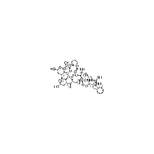 C[C@H](NC(=O)[C@@H](N)Cc1ccccc1)C(=O)NCC(=O)N[C@@H](CC(=O)O)C(=O)N[C@@H](CC(=O)O)C(=O)N[C@@H](C)C(=O)N1CCC[C@H]1C(=O)N[C@@H](CCCNC(=N)N)C(=O)O